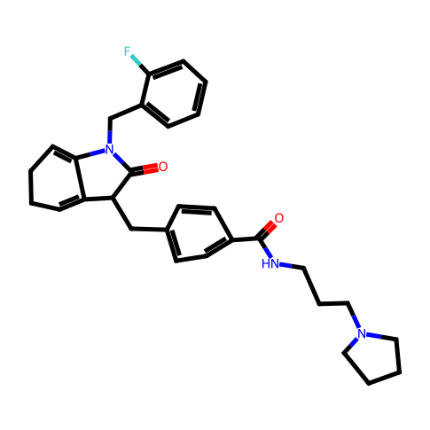 O=C(NCCCN1CCCC1)c1ccc(CC2C(=O)N(Cc3ccccc3F)C3=CCCC=C32)cc1